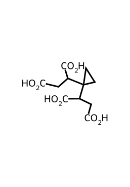 O=C(O)CC(C(=O)O)C1(C(CC(=O)O)C(=O)O)CC1